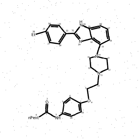 CCCCCC(=O)Nc1ccc(OCCN2CCN(c3cccc4[nH]c(-c5ccc(CC)cc5)nc34)CC2)cc1